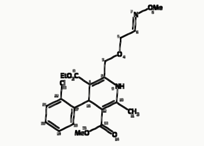 CCOC(=O)C1=C(COCC=NOC)NC(C)=C(C(=O)OC)C1c1ccccc1Cl